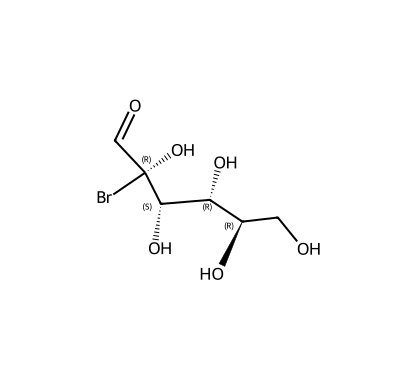 O=C[C@](O)(Br)[C@@H](O)[C@H](O)[C@H](O)CO